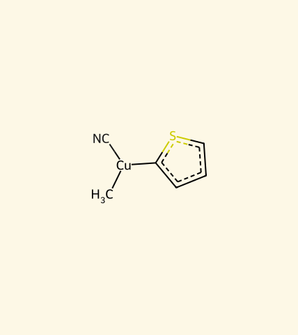 [CH3][Cu]([C]#N)[c]1cccs1